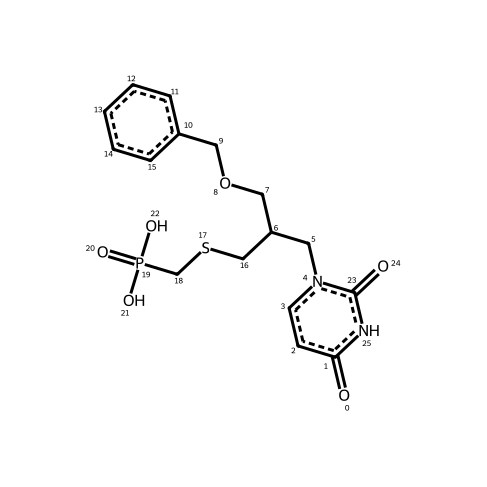 O=c1ccn(CC(COCc2ccccc2)CSCP(=O)(O)O)c(=O)[nH]1